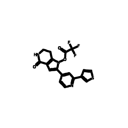 O=C1NCCc2c1cc(-c1ccnc(-c3ccsc3)c1)n2OC(=O)C(F)(F)F